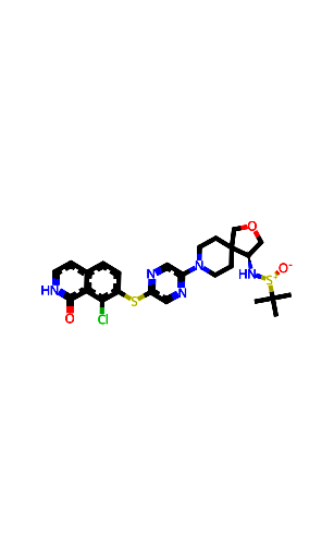 CC(C)(C)[S+]([O-])N[C@@H]1COCC12CCN(c1cnc(Sc3ccc4cc[nH]c(=O)c4c3Cl)cn1)CC2